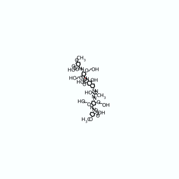 COc1ccc(/N=N/c2cc(OCCO)c(/N=N/c3c(S(=O)(=O)O)cc4cc(-n5nc(C)c(/N=N/c6cc(OCCO)c(/N=N/c7ccc(OC)cc7S(=O)(=O)O)cc6OCCO)c5O)ccc4c3O)cc2OCCO)c(S(=O)(=O)O)c1